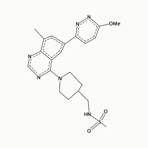 COc1ccc(-c2cc(C)c3ncnc(N4CCC(CNS(C)(=O)=O)CC4)c3c2)nn1